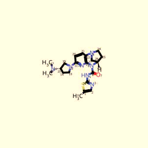 Cc1cnc(NC(=O)N2c3nc(N4CC[C@H](N(C)C)C4)ccc3N3CC[C@H]2C3)s1